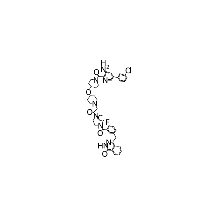 Nc1cc(-c2cccc(Cl)c2)cnc1C(=O)N1CCC(OC2CCN(CC(=O)N3CCN(C(=O)c4cc(Cc5n[nH]c(=O)c6ccccc56)ccc4F)CC3)CC2)CC1